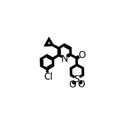 O=C(c1ccc(C2CC2)c(-c2cccc(Cl)c2)n1)C1CCS(=O)(=O)CC1